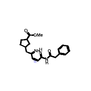 COC(=O)C1CCC(CC(=N)/C=C\C(=N)NC(=O)Cc2ccccc2)C1